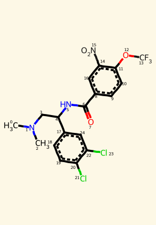 CN(C)CC(NC(=O)c1ccc(OC(F)(F)F)c([N+](=O)[O-])c1)c1ccc(Cl)c(Cl)c1